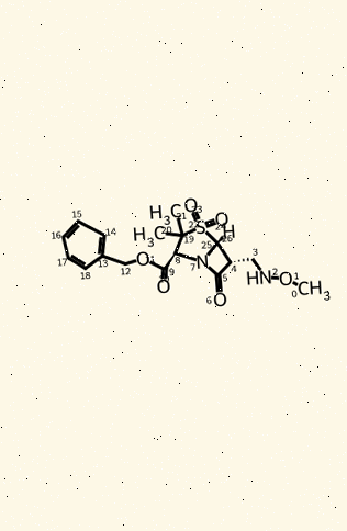 CONC[C@@H]1C(=O)N2[C@@H](C(=O)OCc3ccccc3)C(C)(C)S(=O)(=O)[C@H]12